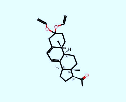 C=COC1(OC=C)CC[C@@]2(C)C(=CC=C3[C@@H]4CC[C@H](C(C)=O)[C@@]4(C)CC[C@@H]32)C1